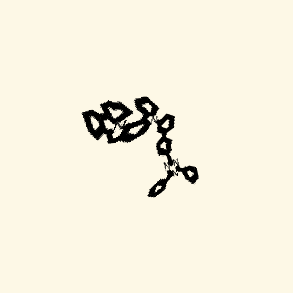 c1ccc(-c2nc(-c3ccccc3)nc(-c3ccc(-c4cccc(-n5c6ccccc6c6c5ccc5cc7c8ccccc8c8ccccc8n7c56)c4)cc3)n2)cc1